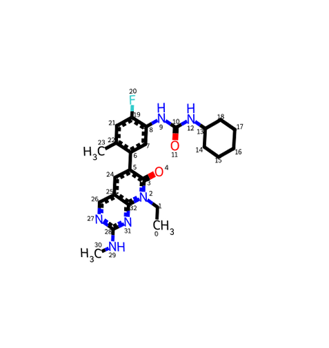 CCn1c(=O)c(-c2cc(NC(=O)NC3CCCCC3)c(F)cc2C)cc2cnc(NC)nc21